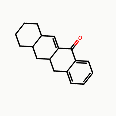 O=C1C2=CC3CCCCC3CC2Cc2ccccc21